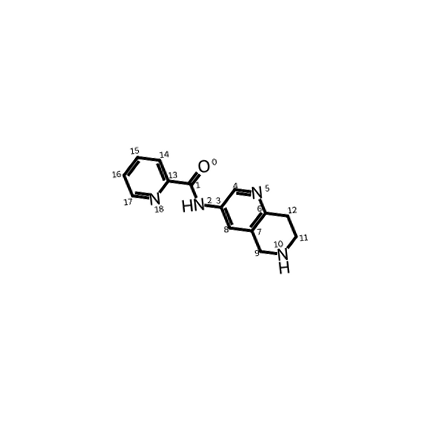 O=C(Nc1cnc2c(c1)CNCC2)c1ccccn1